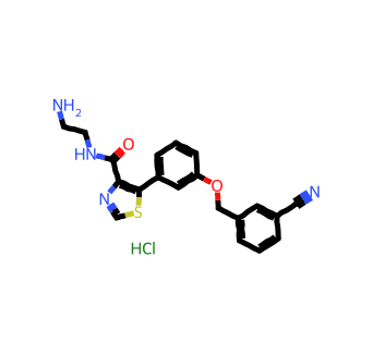 Cl.N#Cc1cccc(COc2cccc(-c3scnc3C(=O)NCCN)c2)c1